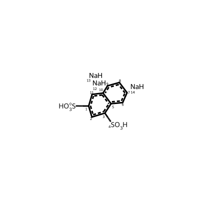 O=S(=O)(O)c1cc(S(=O)(=O)O)c2ccccc2c1.[NaH].[NaH].[NaH]